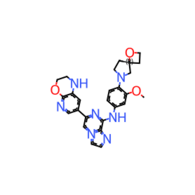 COc1cc(Nc2nc(-c3cnc4c(c3)NCCO4)cn3ccnc23)ccc1N1CC[C@@]2(CCO2)C1